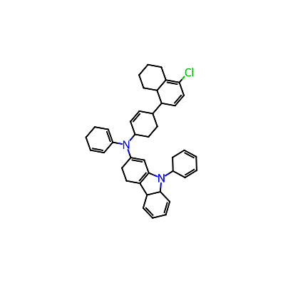 ClC1=C2CCCCC2C(C2C=CC(N(C3=CCCC=C3)C3=CC4=C(CC3)C3C=CC=CC3N4C3C=CC=CC3)CC2)C=C1